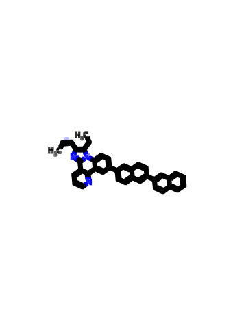 C/C=C\c1nc2c3cccnc3c3cc(-c4ccc5cc(-c6ccc7ccccc7c6)ccc5c4)ccc3n2c1CC